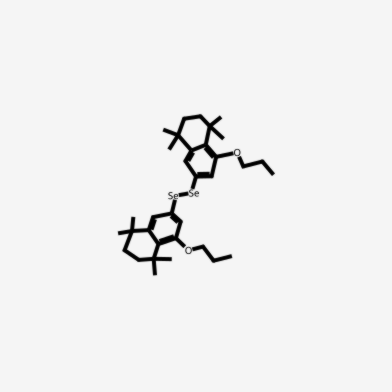 CCCOc1cc([Se][Se]c2cc(OCCC)c3c(c2)C(C)(C)CCC3(C)C)cc2c1C(C)(C)CCC2(C)C